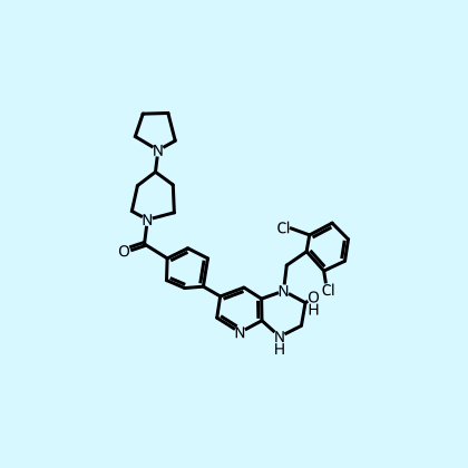 O=C(c1ccc(-c2cnc3c(c2)N(Cc2c(Cl)cccc2Cl)C(O)CN3)cc1)N1CCC(N2CCCC2)CC1